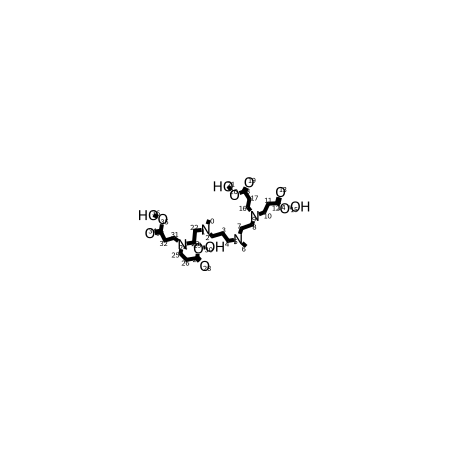 CN(CCCN(C)CCN(CCC(=O)OO)CCC(=O)OO)CCN(CCC(=O)OO)CCC(=O)OO